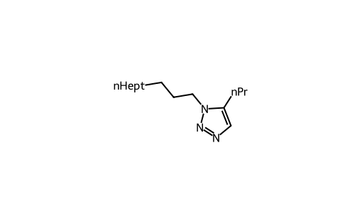 CCCCCCCCCCn1nncc1CCC